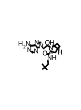 CC(C)(C)CCNC(=O)[C@@H]1C[C@H]2CC[C@H]2N1C(=O)Cn1cnc2c(N)ncnc21